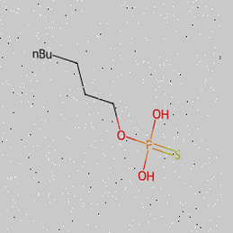 CCCCCCCOP(O)(O)=S